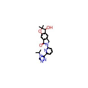 CC(C)n1cnnc1-c1cccc(N2Cc3cc4c(cc3C2=O)OC(C)(C)C4O)n1